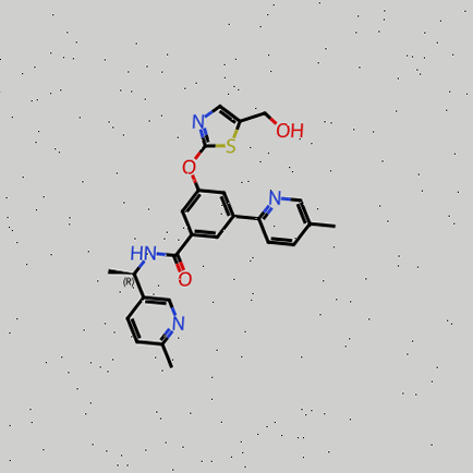 Cc1ccc(-c2cc(Oc3ncc(CO)s3)cc(C(=O)N[C@H](C)c3ccc(C)nc3)c2)nc1